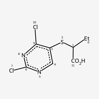 CCC(Sc1cnc(Cl)nc1Cl)C(=O)O